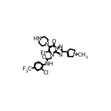 CCc1c(N2CCNCC2)c(=O)n2nc(C3=CCN(C)CC3)nc2n1CC(=O)Nc1ccc(C(F)(F)F)cc1Cl